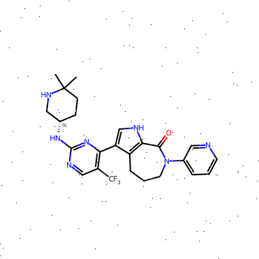 CC1(C)CC[C@H](Nc2ncc(C(F)(F)F)c(-c3c[nH]c4c3CCCN(c3cccnc3)C4=O)n2)CN1